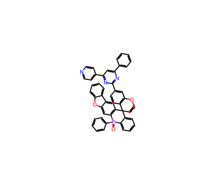 O=P1(c2ccccc2)c2ccccc2C2(c3ccccc3Oc3cc(-c4nc(-c5ccccc5)cc(-c5ccncc5)n4)ccc32)c2cc3c(cc21)oc1ccccc13